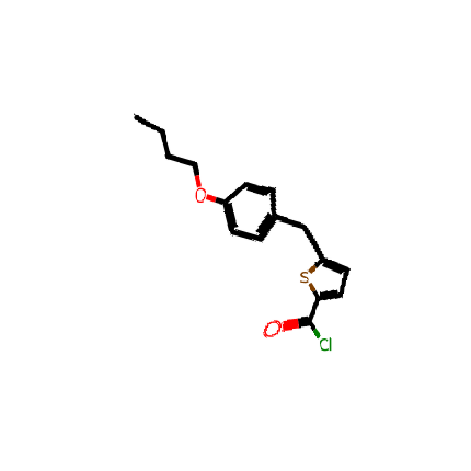 CCCCOc1ccc(Cc2ccc(C(=O)Cl)s2)cc1